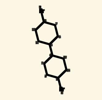 BrC1CCC(C2CCC(Br)CC2)CC1